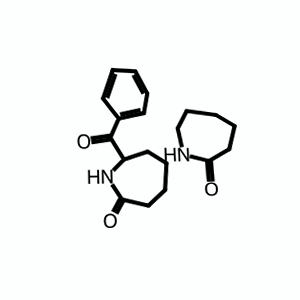 O=C1CCCCC(C(=O)c2ccccc2)N1.O=C1CCCCCN1